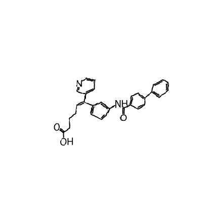 O=C(O)CCCC=C(c1cccnc1)c1cccc(NC(=O)c2ccc(-c3ccccc3)cc2)c1